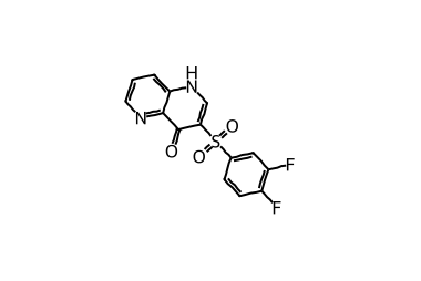 O=c1c(S(=O)(=O)c2ccc(F)c(F)c2)c[nH]c2cccnc12